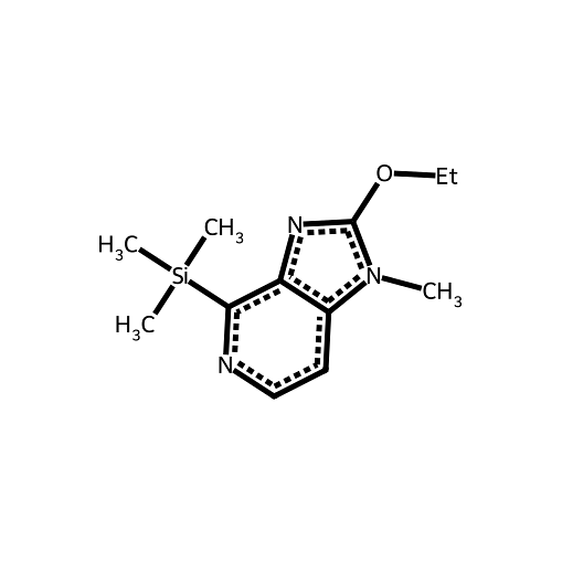 CCOc1nc2c([Si](C)(C)C)nccc2n1C